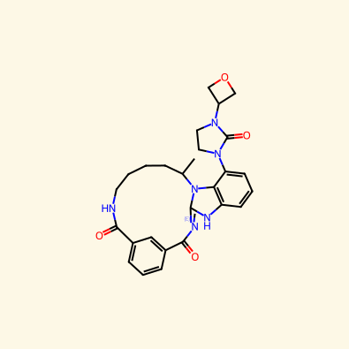 CC1CCCCNC(=O)c2cccc(c2)C(=O)/N=C2\Nc3cccc(N4CCN(C5COC5)C4=O)c3N21